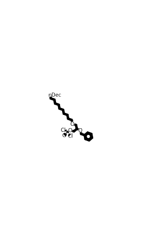 CCCCCCCCCCCCCCCCCCCCOCC(COP(=O)(Cl)Cl)OCc1ccccc1